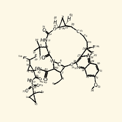 CCC1C2CN(C(=O)C(C(C)(C)C)NC(=O)O[C@H]3C[C@H]3CCCCC(F)(F)c3nc4ccc(OC)cc4nc3O2)C1C(=O)NC1(C(=O)NS(=O)(=O)C2(C)CC2)CC1C(F)F